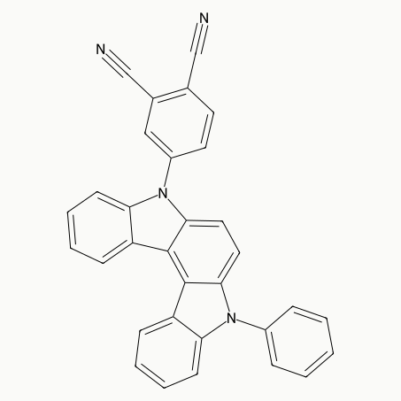 N#Cc1ccc(-n2c3ccccc3c3c4c5ccccc5n(-c5ccccc5)c4ccc32)cc1C#N